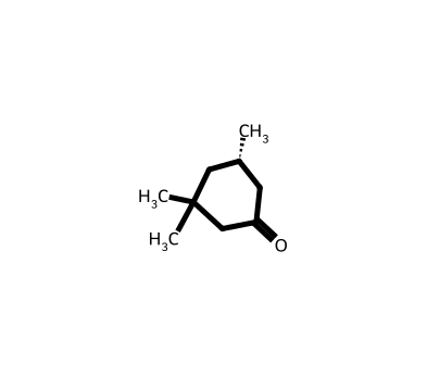 C[C@@H]1CC(=O)CC(C)(C)C1